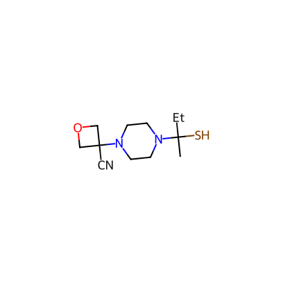 CCC(C)(S)N1CCN(C2(C#N)COC2)CC1